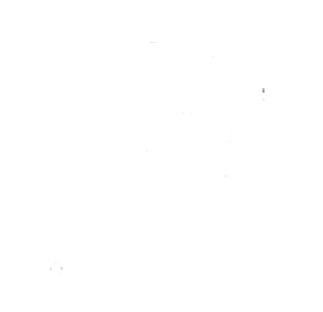 O=Cc1cccc(-c2c(F)cccc2F)c1